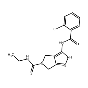 CCNC(=O)N1Cc2n[nH]c(NC(=O)c3ccccc3Cl)c2C1